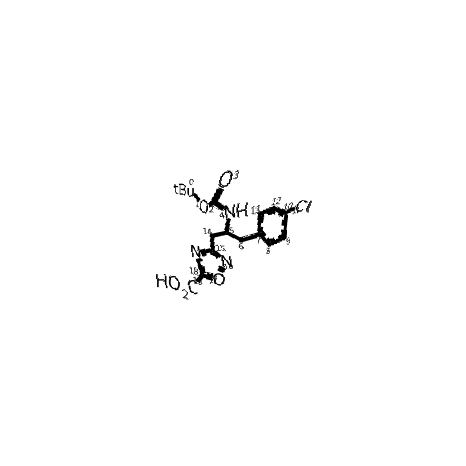 CC(C)(C)OC(=O)NC(Cc1ccc(Cl)cc1)Cc1noc(C(=O)O)n1